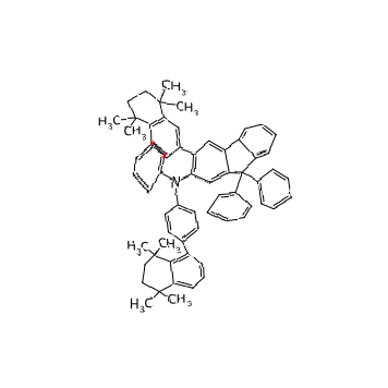 CC1(C)CCC(C)(C)c2cc(-c3cc4c(cc3N(c3ccccc3)c3ccc(-c5cccc6c5C(C)(C)CCC6(C)C)cc3)C(c3ccccc3)(c3ccccc3)c3ccccc3-4)ccc21